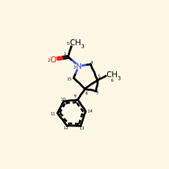 CC(=O)N1CC2(C)CC2(c2ccccc2)C1